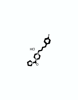 Cl.O=C(N1CCCC1)N1CCN(CCCCc2ccc(F)cc2)CC1